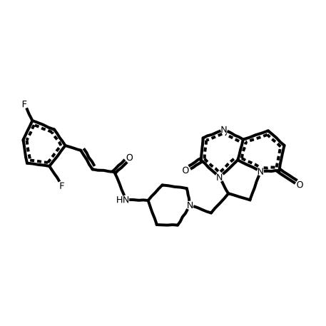 O=C(C=Cc1cc(F)ccc1F)NC1CCN(CC2Cn3c(=O)ccc4ncc(=O)n2c43)CC1